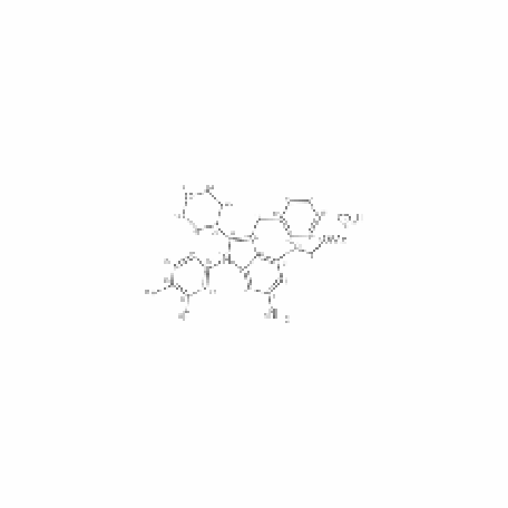 COCOc1cc(N)cc2c1c(Cc1ccc(C(=O)O)cc1)c(C1CCOCC1)n2-c1ccc(F)c(F)c1